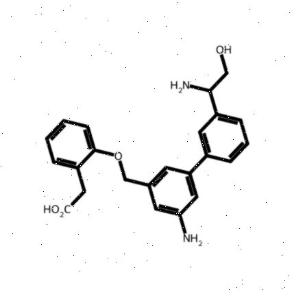 Nc1cc(COc2ccccc2CC(=O)O)cc(-c2cccc(C(N)CO)c2)c1